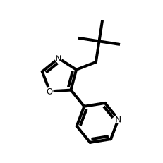 CC(C)(C)Cc1ncoc1-c1cccnc1